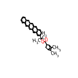 CC1C2CC(C(=O)OC(C)(C)c3ccc4cc5cc6cc7ccccc7cc6cc5cc4c3)C(C2)C1C